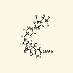 COc1cccc(C(O)(C(=O)N(C)C2CC(CC3CCN(c4ccc(C(=O)N(C)C)c(C)n4)CC3)C2)C(F)(F)F)c1